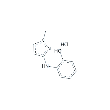 Cl.Cn1ccc(Nc2ccccc2O)n1